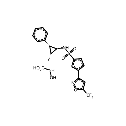 C[C@H]1[C@H](NS(=O)(=O)c2ccc(-c3cc(C(F)(F)F)on3)s2)[C@H]1c1ccccc1.O=C(O)NO